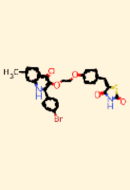 Cc1ccc2c(=O)c(OCCOc3ccc(C=C4SC(=O)NC4=O)cc3)c(-c3ccc(Br)cc3)[nH]c2c1